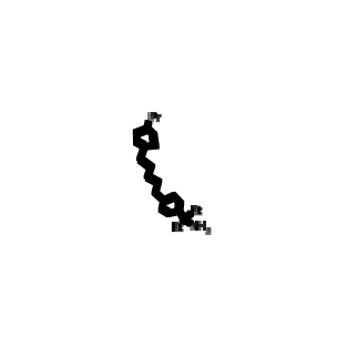 CCC(N)(CC)c1ccc(C/C=C/C=C/c2ccc(C(C)C)cc2)cc1